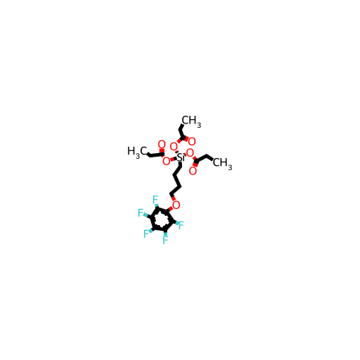 CCC(=O)O[Si](CCCCOc1c(F)c(F)c(F)c(F)c1F)(OC(=O)CC)OC(=O)CC